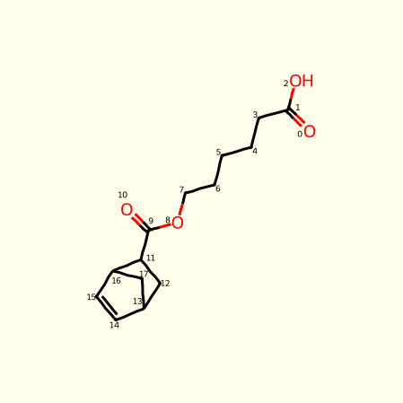 O=C(O)CCCCCOC(=O)C1CC2C=CC1C2